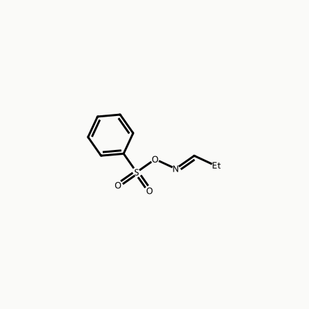 CCC=NOS(=O)(=O)c1ccccc1